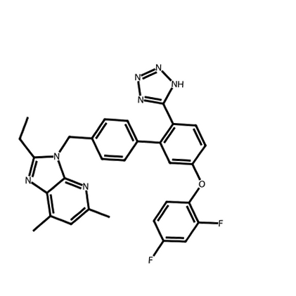 CCc1nc2c(C)cc(C)nc2n1Cc1ccc(-c2cc(Oc3ccc(F)cc3F)ccc2-c2nnn[nH]2)cc1